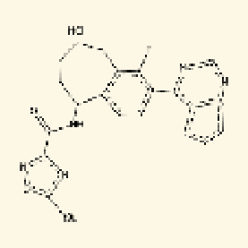 CC(C)(C)c1nc(C(=O)NC2CCCCc3c2ccc(-c2ncnn4cccc24)c3F)no1.Cl